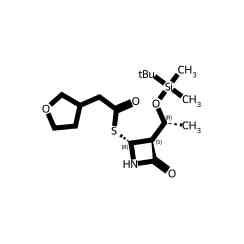 C[C@@H](O[Si](C)(C)C(C)(C)C)[C@H]1C(=O)N[C@@H]1SC(=O)CC1CCOC1